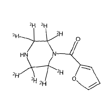 [2H]C1([2H])NC([2H])([2H])C([2H])([2H])N(C(=O)c2ccco2)C1([2H])[2H]